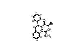 NC(=O)OC(C(=O)CBr)C(Cc1ccccc1)c1ccccc1